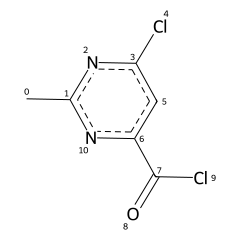 Cc1nc(Cl)cc(C(=O)Cl)n1